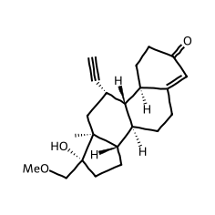 C#C[C@H]1C[C@@]2(C)[C@@H](CC[C@@]2(O)COC)[C@@H]2CCC3=CC(=O)CC[C@@H]3[C@H]21